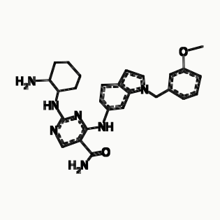 COc1cccc(Cn2ccc3ccc(Nc4nc(NC5CCCCC5N)ncc4C(N)=O)cc32)c1